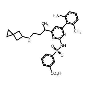 Cc1cccc(C)c1-c1cc(C(C)CCNC2CC3(CC3)C2)nc(NS(=O)(=O)c2cccc(C(=O)O)c2)n1